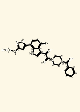 CCOC(=O)Oc1cc(-c2ccc(F)c3c(C(=O)C(=O)N4CCN(C(=O)c5ccccc5)CC4)c[nH]c23)on1